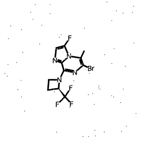 Cc1c(Br)nc(N2CC[C@@H]2C(F)(F)F)c2ncc(F)n12